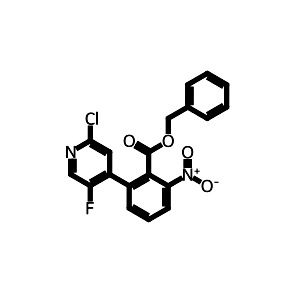 O=C(OCc1ccccc1)c1c(-c2cc(Cl)ncc2F)cccc1[N+](=O)[O-]